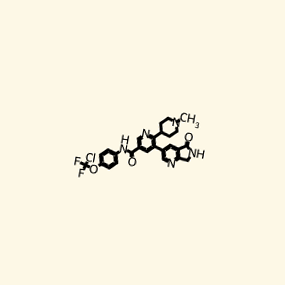 CN1CCC(c2ncc(C(=O)Nc3ccc(OC(F)(F)Cl)cc3)cc2-c2cnc3c(c2)C(=O)NC3)CC1